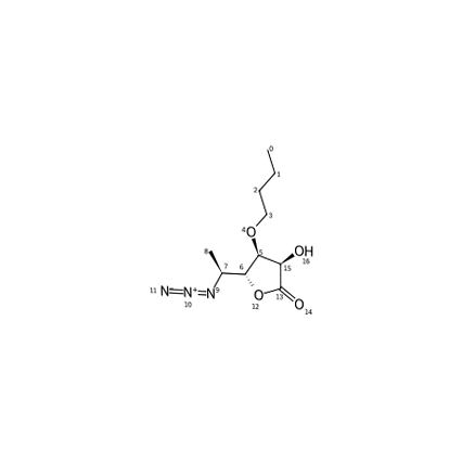 CCCCO[C@@H]1[C@@H]([C@H](C)N=[N+]=[N-])OC(=O)[C@@H]1O